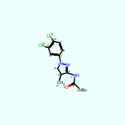 CCCCC(=O)NC1=NN(c2ccc(Cl)c(Cl)c2)CC1C